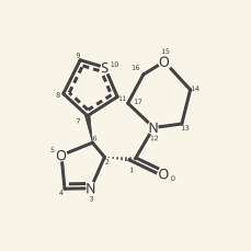 O=C([C@@H]1N=CO[C@H]1c1ccsc1)N1CCOCC1